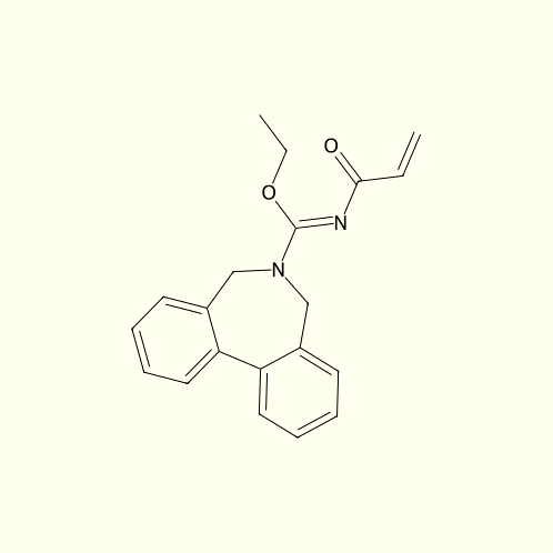 C=CC(=O)/N=C(\OCC)N1Cc2ccccc2-c2ccccc2C1